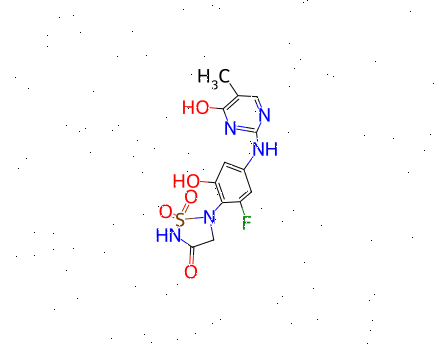 Cc1cnc(Nc2cc(O)c(N3CC(=O)NS3(=O)=O)c(F)c2)nc1O